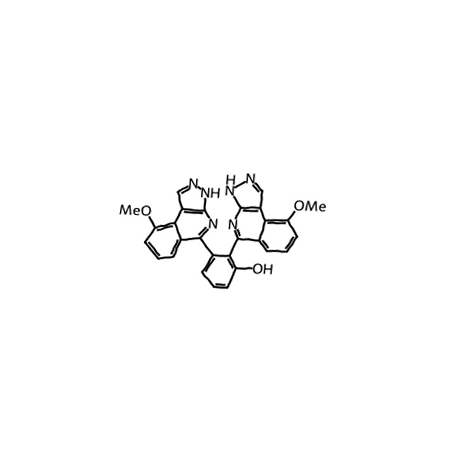 COc1cccc2c(-c3cccc(O)c3-c3nc4[nH]ncc4c4c(OC)cccc34)nc3[nH]ncc3c12